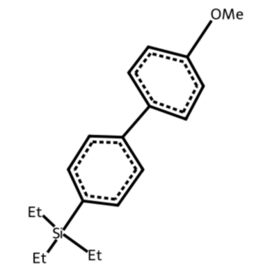 CC[Si](CC)(CC)c1ccc(-c2ccc(OC)cc2)cc1